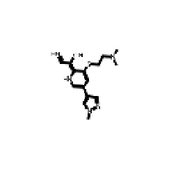 CN(C)CCSC1=CC(c2cnn(C)c2)=CN/C1=C(/C#N)C=N